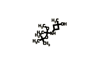 COC(C)(NC1CC(C)(O)C1)OC(C)(C)C